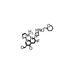 CN1C=CSC1n1cc(C=O)c(=O)c2cc(F)c(N3CC(NOC[C@@H]4CCCCO4)C3)nc21